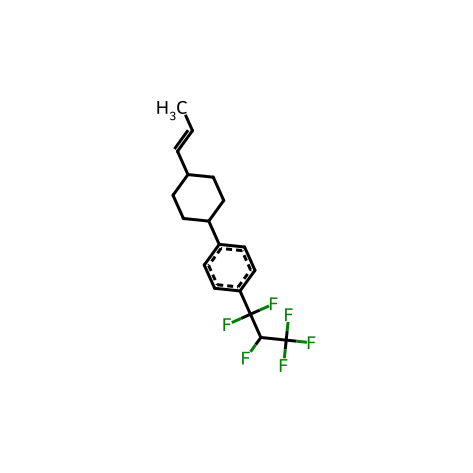 CC=CC1CCC(c2ccc(C(F)(F)C(F)C(F)(F)F)cc2)CC1